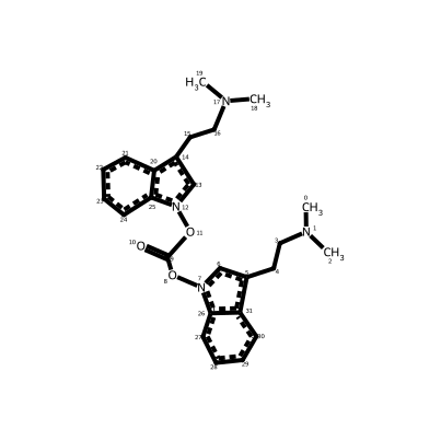 CN(C)CCc1cn(OC(=O)On2cc(CCN(C)C)c3ccccc32)c2ccccc12